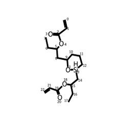 C=CC(=O)OC(CC)CC1CCC[SiH](CC(CC)OC(=O)C=C)O1